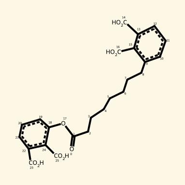 O=C(CCCCCCCc1cccc(C(=O)O)c1C(=O)O)Oc1cccc(C(=O)O)c1C(=O)O